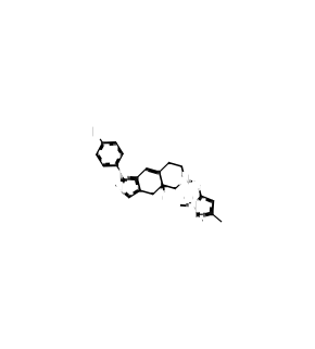 Cc1cc(SN2CCC3=Cc4c(cnn4-c4ccc(F)cc4)CC3(C=O)C2)n(C)n1